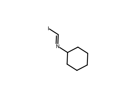 I/C=N/C1CCCCC1